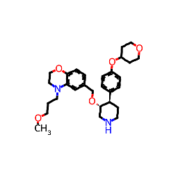 COCCCN1CCOc2ccc(CO[C@H]3CNCC[C@@H]3c3ccc(OC4CCOCC4)cc3)cc21